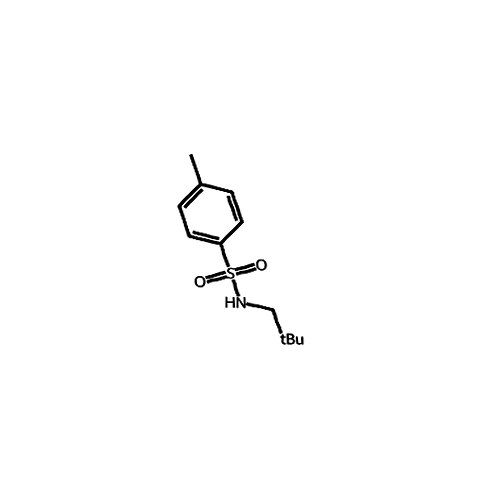 Cc1ccc(S(=O)(=O)NCC(C)(C)C)cc1